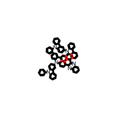 c1ccc(-c2ccccc2N(c2ccc(-c3nc4ccccc4nc3-c3ccc(N(c4ccc5c(c4)c4ccccc4n5-c4ccccc4)c4ccccc4-c4ccccc4)cc3)cc2)c2ccc3c(c2)c2ccccc2n3-c2ccccc2)cc1